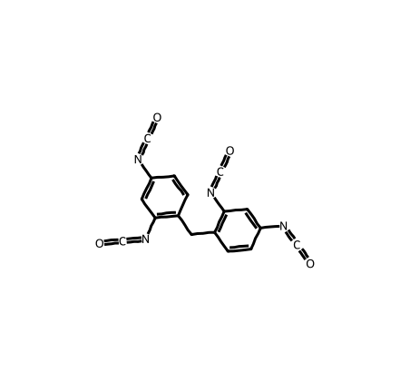 O=C=Nc1ccc(Cc2ccc(N=C=O)cc2N=C=O)c(N=C=O)c1